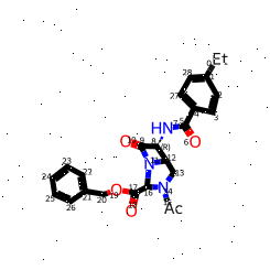 CCc1ccc(C(=O)N[C@H]2C(=O)N3C2CN(C(C)=O)C3C(=O)OCc2ccccc2)cc1